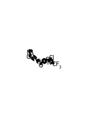 O=C(c1ccc(Oc2ncc(C(F)(F)F)cc2Cl)cc1)N1CC(N2CCN(C(=O)c3nccs3)CC2)C1